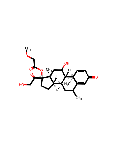 COCC(=O)O[C@]1(C(=O)CO)CC[C@H]2[C@@H]3CC(C)C4=CC(=O)C=C[C@]4(C)[C@H]3C(O)C[C@@]21C